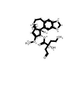 CCC[C@@](O)(CC=O)C(=O)O[C@@H]1C(OC)=C[C@]23CCCN2CCc2cc4c(cc2[C@H]13)OCO4